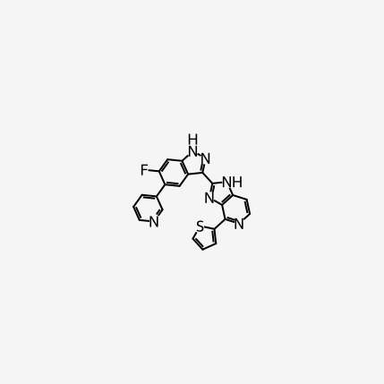 Fc1cc2[nH]nc(-c3nc4c(-c5cccs5)nccc4[nH]3)c2cc1-c1cccnc1